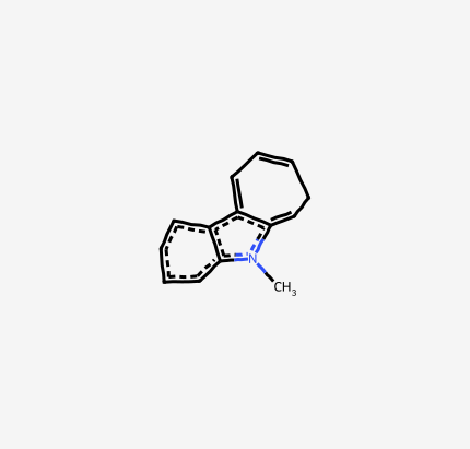 Cn1c2c(c3ccccc31)=CC=CCC=2